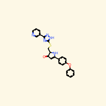 O=C1C=C(c2ccc(Oc3ccccc3)cc2)NC1CSc1nc(-c2cccnc2)n[nH]1